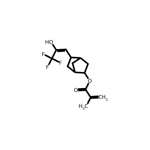 C=C(C)C(=O)OC1CC2CC1CC2/C=C(/O)C(F)(F)F